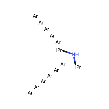 CC(C)NC(C)C.[Ar].[Ar].[Ar].[Ar].[Ar].[Ar].[Ar].[Ar].[Ar].[Ar].[Ar]